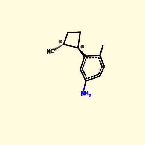 Cc1ccc(N)cc1[C@@H]1CC[C@H]1C#N